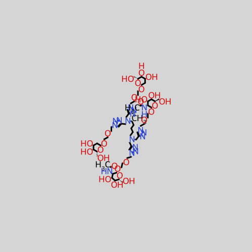 CC(=O)N[C@H]1[C@H](OCCOCCn2cc(CN(CCCCC(C)N(Cc3cn(CCOCCO[C@H]4C[C@@H](O)[C@@H](O)[C@@H](CO)O4)nn3)Cc3cn(CCOCCO[C@H]4C[C@@H](O)[C@@H](O)[C@@H](CO)O4)nn3)Cc3cn(CCOCCO[C@@H]4O[C@H](CO)[C@H](O)[C@H](O)[C@H]4NC(C)=O)nn3)nn2)O[C@H](CO)[C@H](O)[C@@H]1O